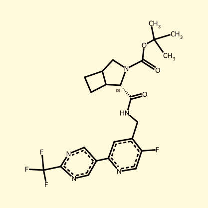 CC(C)(C)OC(=O)N1CC2CCC2[C@H]1C(=O)NCc1cc(-c2cnc(C(F)(F)F)nc2)ncc1F